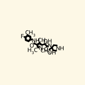 Cc1cc(NC(=O)c2c(C)c(C(=O)C(=O)NC3(CO)CCNCC3)n(C)c2C)ccc1F